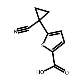 N#CC1(c2ccc(C(=O)O)s2)CC1